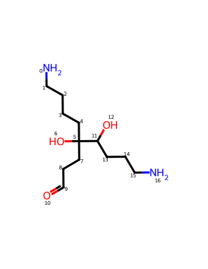 NCCCCC(O)(CCC=O)C(O)CCCN